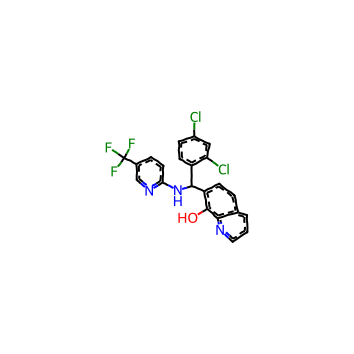 Oc1c(C(Nc2ccc(C(F)(F)F)cn2)c2ccc(Cl)cc2Cl)ccc2cccnc12